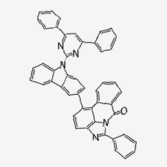 O=c1c2ccccc2c2c(-c3ccc4c(c3)c3ccccc3n4-c3nc(-c4ccccc4)cc(-c4ccccc4)n3)ccc3nc(-c4ccccc4)n1c32